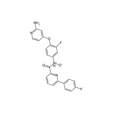 Nc1cc(Oc2ccc([NH+]([O-])C(=O)c3cccc(-c4ccc(F)cc4)n3)cc2F)ccn1